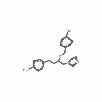 Cc1ccc(CCC(Cn2ccnc2)OCc2ccc(N)cc2)cc1